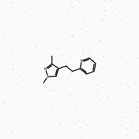 Cc1nn(C)cc1CCc1ccccn1